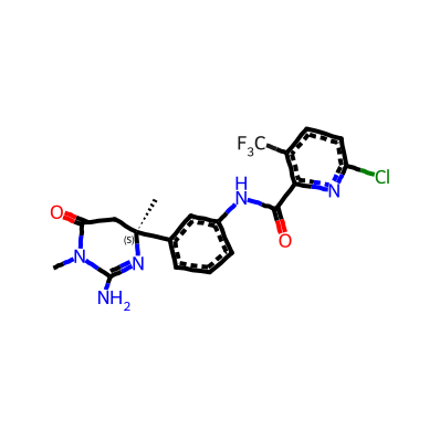 CN1C(=O)C[C@@](C)(c2cccc(NC(=O)c3nc(Cl)ccc3C(F)(F)F)c2)N=C1N